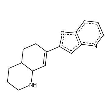 C1=C(c2cc3ncccc3o2)CCC2CCCNC12